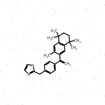 C=C(c1ccc(Cc2nccs2)cc1)c1cc2c(cc1C)C(C)(C)CCC2(C)C